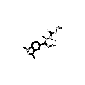 CCN(C(=O)OC(C)(C)C)N(C)/C(=N\O)c1ccc2c(c1)c(C)nn2C